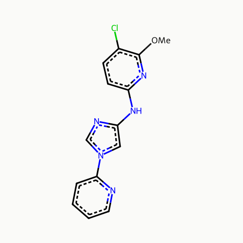 COc1nc(Nc2cn(-c3ccccn3)cn2)ccc1Cl